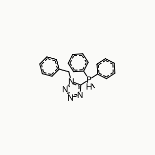 C[PH](c1ccccc1)(c1ccccc1)c1nnnn1Cc1ccccc1